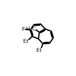 CCC1=CC=CC2=C(C)C1C(CC)=C(F)C=C2